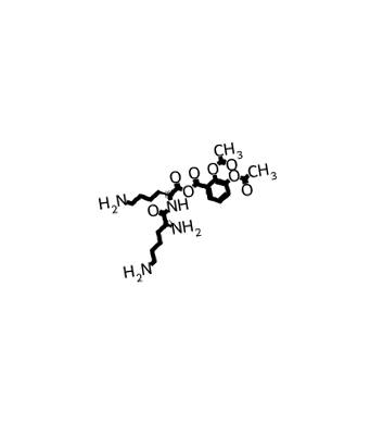 CC(=O)Oc1cccc(C(=O)OC(=O)[C@H](CCCCN)NC(=O)[C@@H](N)CCCCN)c1OC(C)=O